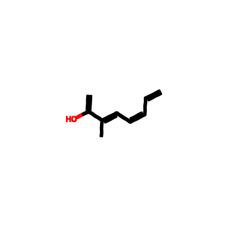 C=C/C=C\C=C(/C)C(=C)O